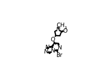 CN1CC(Oc2cnc(Br)n3cnnc23)CC1=O